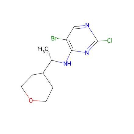 C[C@H](Nc1nc(Cl)ncc1Br)C1CCOCC1